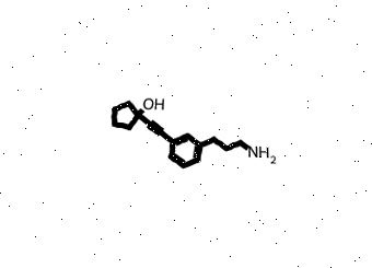 NCCCc1cccc(C#CC2(O)CCCC2)c1